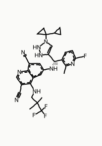 Cc1nc(F)ccc1[C@H](Nc1cc(C#N)c2ncc(C#N)c(NCC(C)(C)C(F)(F)F)c2c1)C1=CN(C2(C3CC3)CC2)NN1